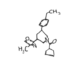 CCc1ccc(C2CC(c3nc(C)co3)CN(C(=O)C3CCCC3)C2)cc1